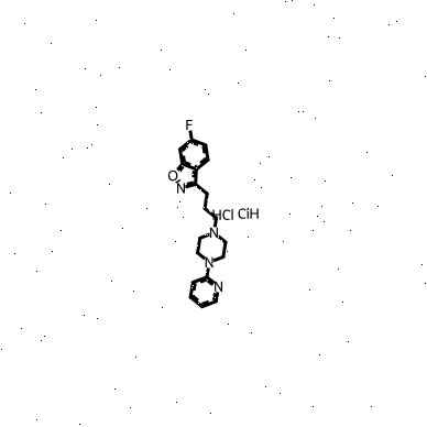 Cl.Cl.Fc1ccc2c(CCCN3CCN(c4ccccn4)CC3)noc2c1